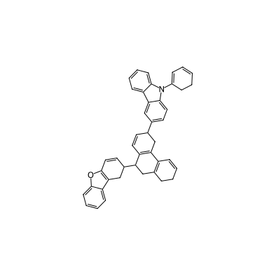 C1=CCCC(n2c3ccccc3c3cc(C4C=CC5=C(C4)C4=C(CCC=C4)CC5C4C=Cc5oc6ccccc6c5C4)ccc32)=C1